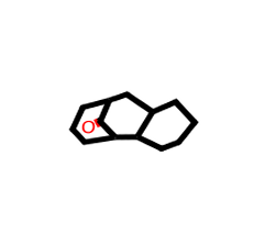 O=C1C2CCCC1C1CCCCC1C2